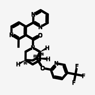 Cc1nccc(-c2ncccn2)c1C(=O)N1C[C@@H]2CC[C@H]1[C@H](Oc1ccc(C(F)(F)F)cn1)C2